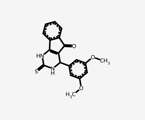 COc1cc(OC)cc(C2NC(=S)NC3=C2C(=O)c2ccccc23)c1